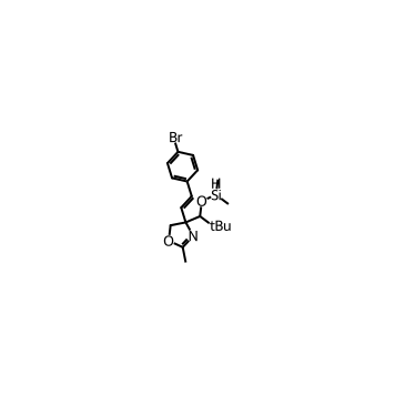 CC1=NC(C=Cc2ccc(Br)cc2)(C(O[SiH](C)C)C(C)(C)C)CO1